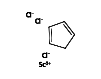 C1=CCC=C1.[Cl-].[Cl-].[Cl-].[Sc+3]